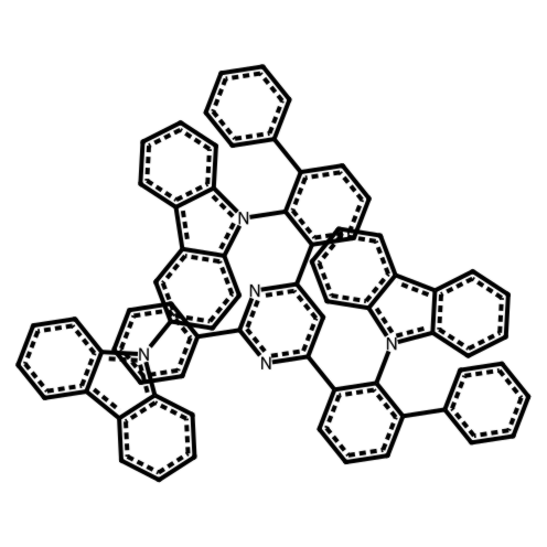 c1ccc(-c2nc(-c3cccc(-c4ccccc4)c3-n3c4ccccc4c4ccccc43)cc(-c3cccc(-c4ccccc4)c3-n3c4ccccc4c4cc(-n5c6ccccc6c6ccccc65)ccc43)n2)cc1